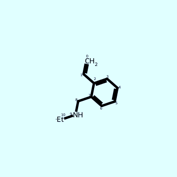 C=Cc1ccccc1CN[CH]C